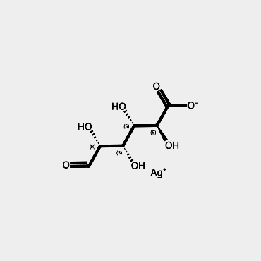 O=C[C@H](O)[C@@H](O)[C@H](O)[C@H](O)C(=O)[O-].[Ag+]